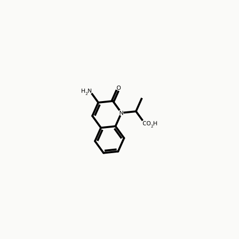 CC(C(=O)O)n1c(=O)c(N)cc2ccccc21